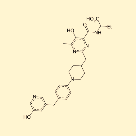 CCC(NC(=O)c1nc(CC2CCN(c3ccc(Cc4cncc(O)c4)cc3)CC2)nc(C)c1O)C(=O)O